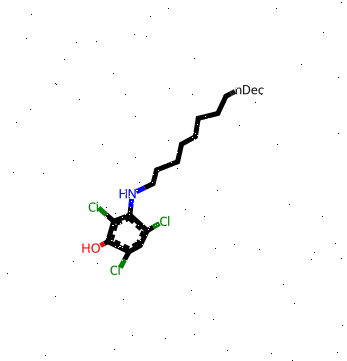 CCCCCCCCCCCCCCCCCCNc1c(Cl)cc(Cl)c(O)c1Cl